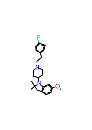 COc1ccc2c(c1)N(C1CCN(CCc3ccc(F)cc3)CC1)C(C)(C)C2